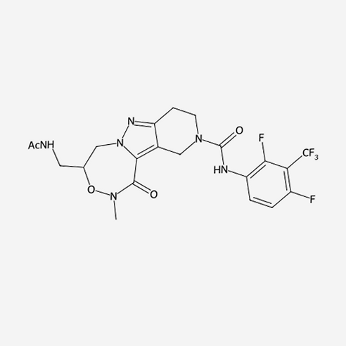 CC(=O)NCC1Cn2nc3c(c2C(=O)N(C)O1)CN(C(=O)Nc1ccc(F)c(C(F)(F)F)c1F)CC3